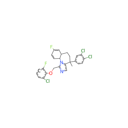 CC1(c2ccc(Cl)c(Cl)c2)CCC2C=C(F)C=CC2n2c1cnc2COc1c(F)cccc1Cl